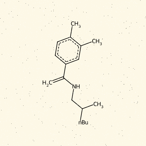 C=C(NCC(C)CCCC)c1ccc(C)c(C)c1